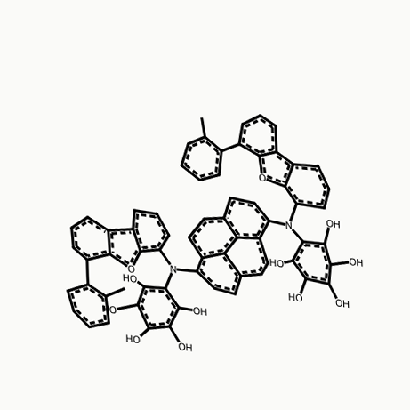 Cc1ccccc1-c1cccc2c1oc1c(N(c3c(O)c(O)c(O)c(O)c3O)c3ccc4ccc5c(N(c6c(O)c(O)c(O)c(O)c6O)c6cccc7c6oc6c(-c8ccccc8C)cccc67)ccc6ccc3c4c65)cccc12